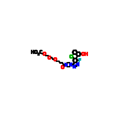 O=C(O)COCCOCCOCCC=CC(=O)N1CCN(c2ncnc3c(F)c(-c4cc(O)cc5ccccc45)c(Cl)cc23)CC1